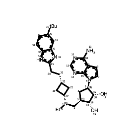 CCN(C[C@H]1C[C@@H](n2ccc3c(N)ncnc32)[C@H](O)[C@@H]1O)[C@H]1C[C@@H](CCc2nc3cc(C(C)(C)C)ccc3[nH]2)C1